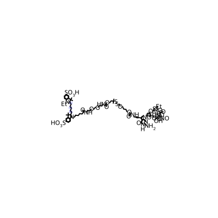 CCSSCO[C@H]1C[C@H](n2cc(C#CCNC(=O)OCCCCOCSSC(C)(C)CCOC(=O)NCCOCCOCCNC(=O)CCCCC[N+]3=C(/C=C/C=C/C=C4\N(CC)c5ccc(S(=O)(=O)O)cc5C4(C)C)C(C)(C)c4cc(S(=O)(=O)O)ccc43)c3c(=O)[nH]c(N)nc32)O[C@@H]1CO[P@@](=O)(O)OP(=O)(N=O)OP(=O)(O)O